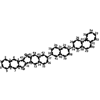 c1ccc2cc3c(cc2c1)sc1c2cc4ccc(-c5ccc6cc(-c7ccc8c(ccc9ccccc98)c7)ccc6c5)cc4cc2sc31